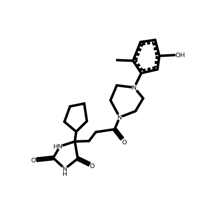 Cc1ccc(O)cc1N1CCN(C(=O)CCC2(C3CCCC3)NC(=O)NC2=O)CC1